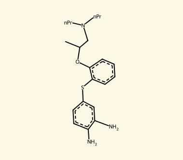 CCCN(CCC)CC(C)Oc1ccccc1Sc1ccc(N)c(N)c1